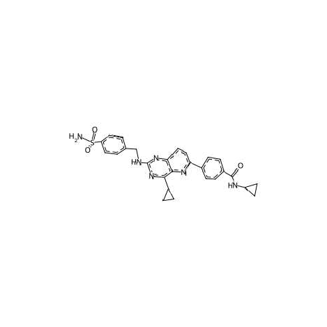 NS(=O)(=O)c1ccc(CNc2nc(C3CC3)c3nc(-c4ccc(C(=O)NC5CC5)cc4)ccc3n2)cc1